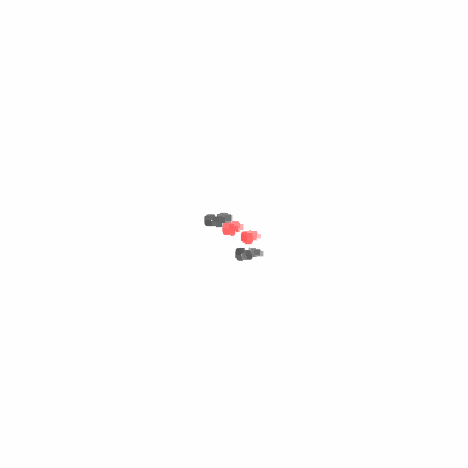 [Cd+2].[Co+2].[O-2].[O-2]